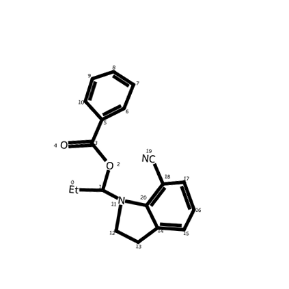 CCC(OC(=O)c1ccccc1)N1CCc2cccc(C#N)c21